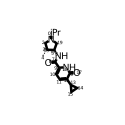 CC(C)N1C[C@@H](C)[C@H](NC(=O)c2ccc(C3CC3)c(=O)[nH]2)C1